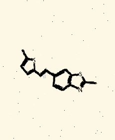 Cc1ccc(/C=C/c2ccc3nc(C)sc3c2)s1